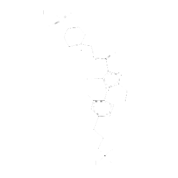 CCc1nc(C(=O)NC[C@]2(O)CC[C@@H](S(C)(=O)=O)CC2)c(Cl)n1-c1ccc(CCCC(F)(F)F)cc1F